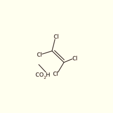 CC(=O)O.ClC(Cl)=C(Cl)Cl